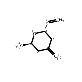 C=C[C@@H]1CC(=C)C[C@@H](C)O1